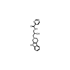 O=C(NCC(O)CN1CCc2c([nH]c3ccccc23)C1)c1ccncn1